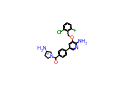 Nc1ncc(-c2ccc(C(=O)N3CC[C@H](N)C3)cc2)cc1OCc1c(F)cccc1Cl